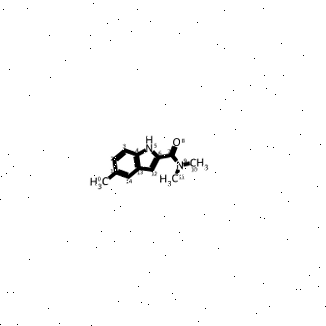 Cc1ccc2[nH]c(C(=O)N(C)C)cc2c1